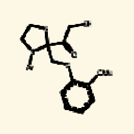 COc1ccccc1OCC1(C(=O)CS)SCCN1C(C)=O